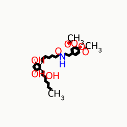 CCCCCC(O)/C=C/[C@@H]1[C@@H](C/C=C\CCCC(=O)NCCc2ccc(OC(C)=O)c(OC(C)=O)c2)[C@@H](O)C[C@H]1O